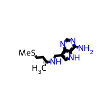 CSCC[C@@H](C)NCc1c[nH]c2c(N)ncnc12